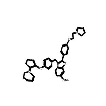 COc1ccc2c(Cc3ccc(OC4CCCC4N4CCCCC4)cc3)c(-c3ccc(OCCN4CCCC4)cc3)sc2c1